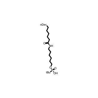 CCCCCCCCCCCCCCCC(=O)NCCCCCCOP(=O)(O)C(C)(C)C